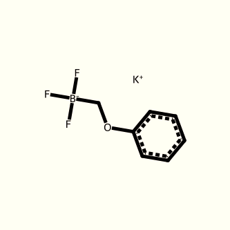 F[B-](F)(F)COc1ccccc1.[K+]